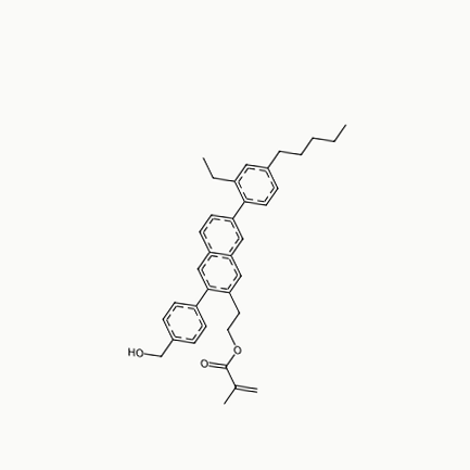 C=C(C)C(=O)OCCc1cc2cc(-c3ccc(CCCCC)cc3CC)ccc2cc1-c1ccc(CO)cc1